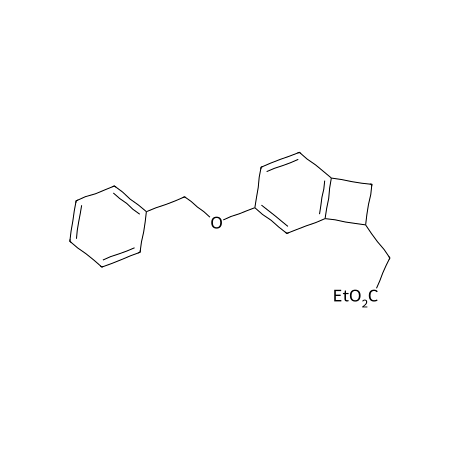 CCOC(=O)CC1Cc2ccc(OCc3ccccc3)cc21